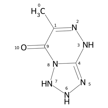 CC1=NNC2=NNNN2C1=O